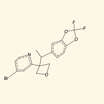 CC(c1ccc2c(c1)OC(F)(F)O2)C1(c2cc(Br)ccn2)COC1